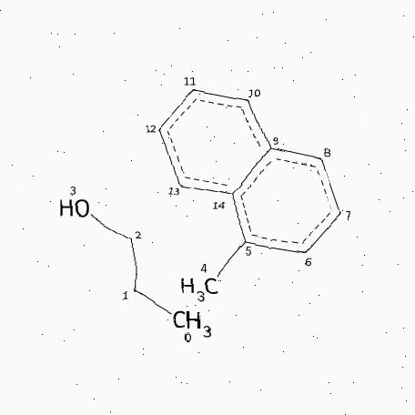 CCCO.Cc1cccc2ccccc12